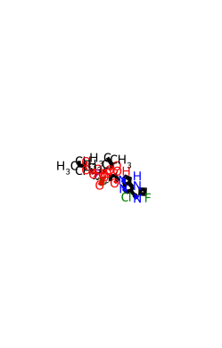 CC(C)(C)C(=O)OCOP(=O)(CS(=O)(=O)C[C@H]1O[C@@H](n2ccc3c(N[C@H]4C[C@@H](F)C4)c(C#N)c(Cl)nc32)[C@H](O)[C@@H]1O)OCOC(=O)C(C)(C)C